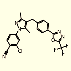 Cc1nn(-c2ccc(C#N)c(Cl)c2)c(C)c1Cc1ccc(-c2nnc(C(F)(F)F)o2)cc1